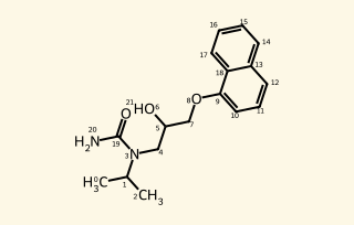 CC(C)N(CC(O)COc1cccc2ccccc12)C(N)=O